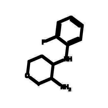 NC1[CH]OCCC1Nc1ccccc1F